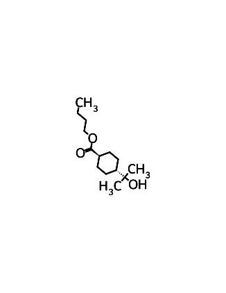 CCCCOC(=O)[C@H]1CC[C@H](C(C)(C)O)CC1